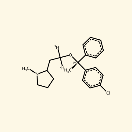 [2H]C([2H])(CC1CCCN1C)O[C@](C)(c1ccccc1)c1ccc(Cl)cc1